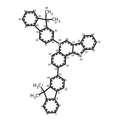 CC1(C)c2ccccc2-c2ccc(-c3ccc4c(c3)c3nc5ccccc5c-3cn4-c3ccc4c(c3)C(C)(C)c3ccccc3-4)cc21